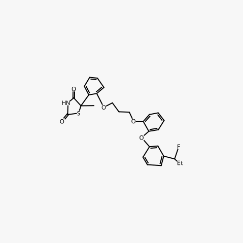 CCC(F)c1cccc(Oc2ccccc2OCCCOc2ccccc2C2(C)SC(=O)NC2=O)c1